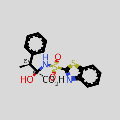 C[C@@H](c1ccccc1)[C@](O)(NS(=O)(=O)c1nc2ccccc2s1)C(=O)O